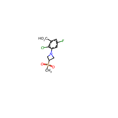 CS(=O)(=O)C1CN(c2cc(F)cc(C(=O)O)c2Cl)C1